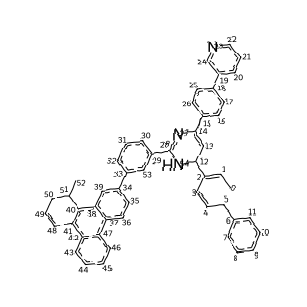 C/C=C(\C=C/Cc1ccccc1)C1C=C(c2ccc(-c3cccnc3)cc2)N=C(c2cccc(-c3ccc4c(c3)c3c(c5ccccc54)C=CCC3C)c2)N1